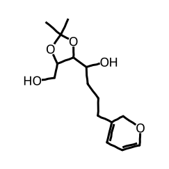 CC1(C)OC(CO)C(C(O)CCCC2=CC=COC2)O1